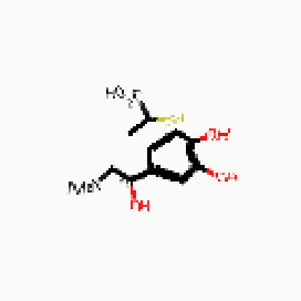 CC(S)C(=O)O.CNC[C@H](O)c1ccc(O)c(O)c1